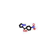 O=[N+]([O-])c1ccc(C(O)c2ccc[nH]2)cc1